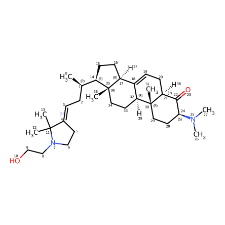 C[C@H](C/C=C1\CCN(CCO)C1(C)C)[C@H]1CC[C@H]2C3=CC[C@H]4C(=O)[C@@H](N(C)C)CC[C@]4(C)[C@H]3CC[C@]12C